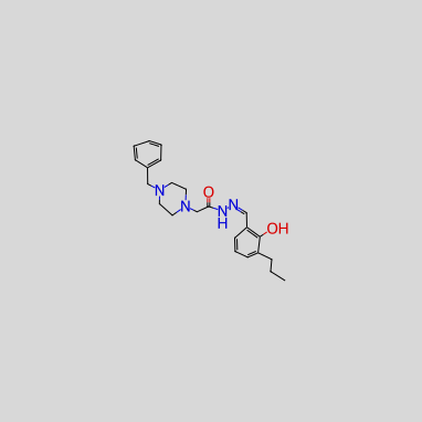 CCCc1cccc(/C=N\NC(=O)CN2CCN(Cc3ccccc3)CC2)c1O